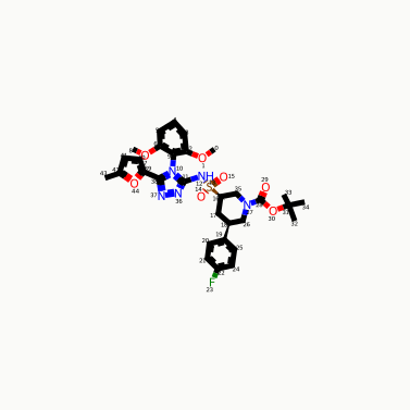 COc1cccc(OC)c1-n1c(NS(=O)(=O)[C@@H]2C[C@H](c3ccc(F)cc3)CN(C(=O)OC(C)(C)C)C2)nnc1-c1ccc(C)o1